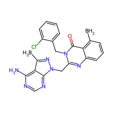 Bc1nn(Cc2nc3cccc(B)c3c(=O)n2Cc2ccccc2Cl)c2ncnc(N)c12